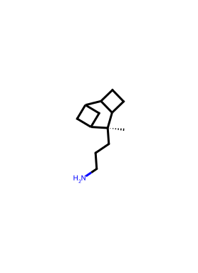 C[C@]1(CCCN)C2CC(C2)C2CCC21